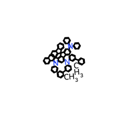 Cc1ccccc1-c1cccc(N(c2cccc(-c3ccccc3C)c2)c2cc3c(c4c2-c2ccc(N(c5ccccc5)c5ccccc5)cc2C42c4ccccc4-c4ccccc42)c2ccc4ccccc4c2n3-c2ccccc2)c1